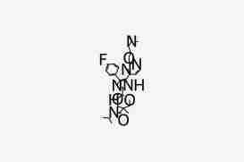 CC(C)NC(=O)C1(C)COC(c2nc(-c3ccc(F)cc3)c(-c3ccnc(OCCN(C)C)n3)[nH]2)OC1